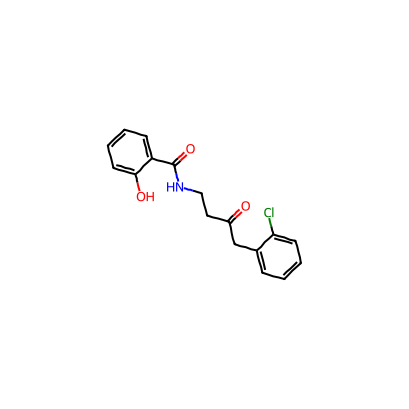 O=C(CCNC(=O)c1ccccc1O)Cc1ccccc1Cl